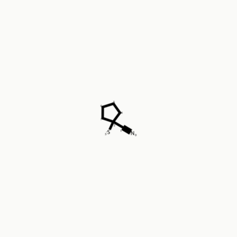 N#CC1([S])CCCC1